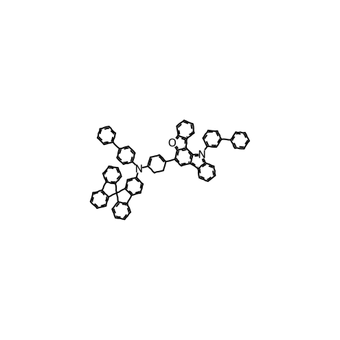 C1=C(c2cc3c4ccccc4n(-c4cccc(-c5ccccc5)c4)c3c3c2oc2ccccc23)CCC(N(c2ccc(-c3ccccc3)cc2)c2ccc3c(c2)C2(c4ccccc4-c4ccccc42)c2ccccc2-3)=C1